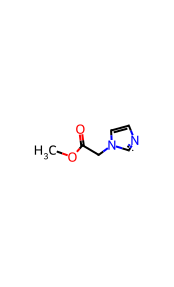 COC(=O)Cn1[c]ncc1